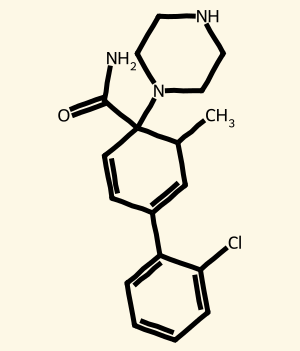 CC1C=C(c2ccccc2Cl)C=CC1(C(N)=O)N1CCNCC1